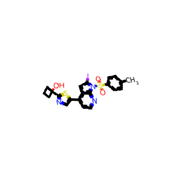 Cc1ccc(S(=O)(=O)n2c(I)cc3c(-c4cnc(C5(O)CCC5)s4)ccnc32)cc1